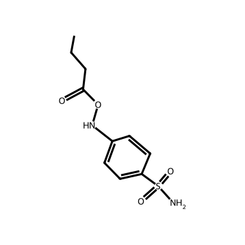 CCCC(=O)ONc1ccc(S(N)(=O)=O)cc1